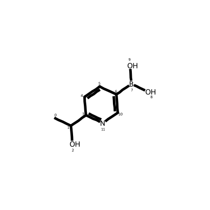 CC(O)c1ccc(B(O)O)cn1